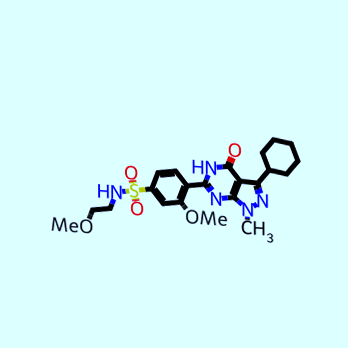 COCCNS(=O)(=O)c1ccc(-c2nc3c(c(C4CCCCC4)nn3C)c(=O)[nH]2)c(OC)c1